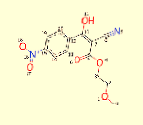 COCCOC(=O)C(C#N)=C(O)c1ccc([N+](=O)[O-])cc1